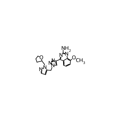 COc1cccc2c(-c3cn(Cc4ccnn4CC4CCCO4)nn3)nc(N)nc12